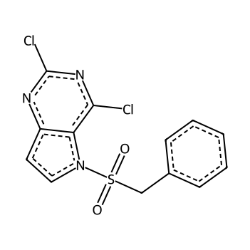 O=S(=O)(Cc1ccccc1)n1ccc2nc(Cl)nc(Cl)c21